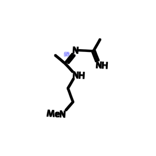 CNCCN/C(C)=N\C(C)=N